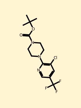 CC(C)(C)OC(=O)N1CCN(c2ncc(C(F)(F)F)cc2Cl)CC1